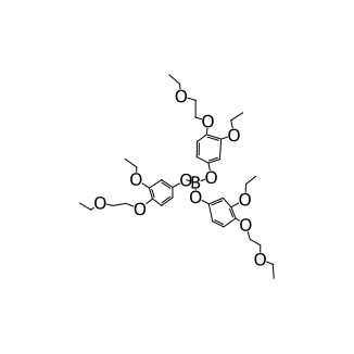 CCOCCOc1ccc(OB(Oc2ccc(OCCOCC)c(OCC)c2)Oc2ccc(OCCOCC)c(OCC)c2)cc1OCC